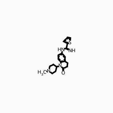 CN1CCC(N2C(=O)CCc3cc(NC(=N)c4cccs4)ccc32)CC1